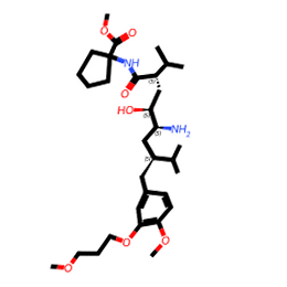 COCCCOc1cc(C[C@@H](C[C@H](N)[C@@H](O)C[C@H](C(=O)NC2(C(=O)OC)CCCC2)C(C)C)C(C)C)ccc1OC